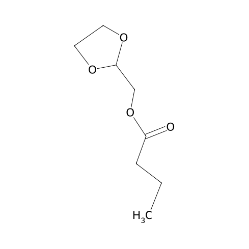 CCCC(=O)OCC1OCCO1